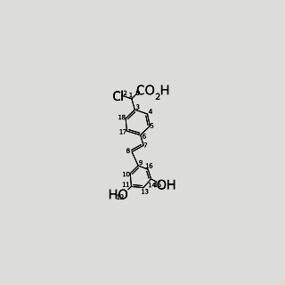 O=C(O)C(Cl)c1ccc(C=Cc2cc(O)cc(O)c2)cc1